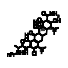 CCCNC(C)C(=O)Nc1c(O)c2c(c(N(C)C)c1Cl)CC1CC3[C@H](N(C)C)C(O)=C(C(N)=O)C(=O)[C@@]3(O)C(O)=C1C2=O